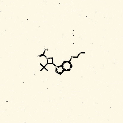 COCOc1ccc2cnn(C3CN(C(=O)O)C3C(C)(C)C)c2c1